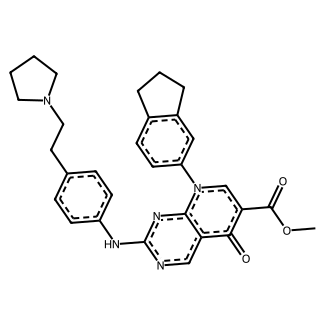 COC(=O)c1cn(-c2ccc3c(c2)CCC3)c2nc(Nc3ccc(CCN4CCCC4)cc3)ncc2c1=O